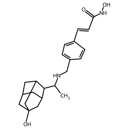 CC(NCc1ccc(C=CC(=O)NO)cc1)C1C2CC3CC1CC(O)(C3)C2